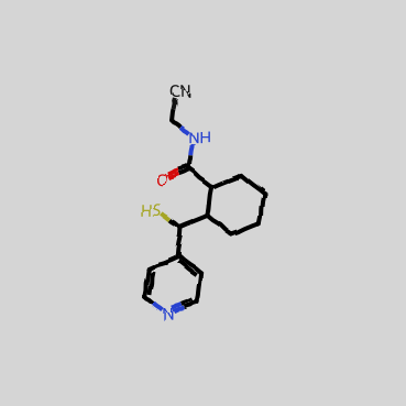 N#CCNC(=O)C1CCCCC1C(S)c1ccncc1